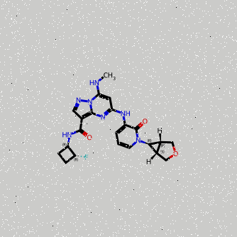 CNc1cc(Nc2cccn([C@H]3[C@@H]4COC[C@@H]43)c2=O)nc2c(C(=O)N[C@@H]3CC[C@H]3F)cnn12